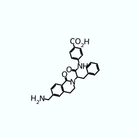 NCc1ccc2c(c1)CCN(C(Cc1ccccc1)C(=O)Nc1ccc(C(=O)O)cc1)C2=O